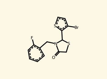 O=C1CSC(c2sccc2Br)N1Cc1ccccc1F